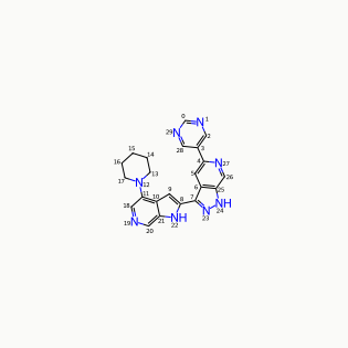 c1ncc(-c2cc3c(-c4cc5c(N6CCCCC6)cncc5[nH]4)n[nH]c3cn2)cn1